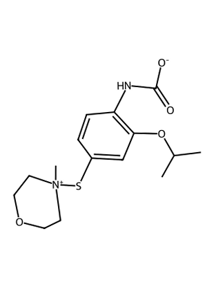 CC(C)Oc1cc(S[N+]2(C)CCOCC2)ccc1NC(=O)[O-]